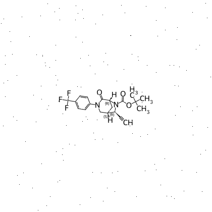 C#C[C@H]1[C@H]2C[C@H](C(=O)N(c3ccc(C(F)(F)F)cc3)C2)N1C(=O)OC(C)(C)C